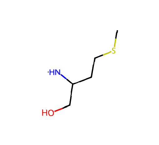 CSCCC([NH])CO